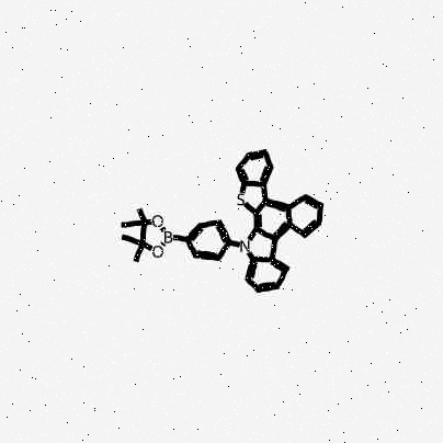 CC1(C)OB(c2ccc(-n3c4ccccc4c4c5ccccc5c5c6ccccc6sc5c43)cc2)OC1(C)C